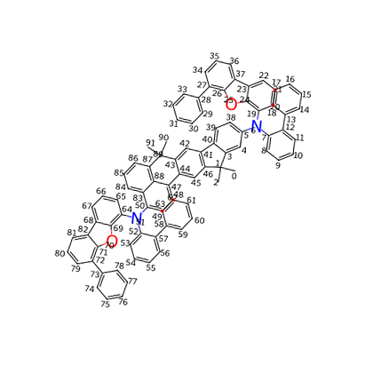 CC1(C)c2cc(N(c3ccccc3-c3ccccc3)c3cccc4c3oc3c(-c5ccccc5)cccc34)ccc2-c2cc3c(cc21)-c1ccc(N(c2ccccc2-c2ccccc2)c2cccc4c2oc2c(-c5ccccc5)cccc24)c2cccc(c12)C3(C)C